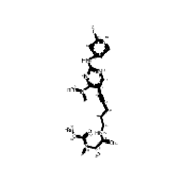 CCCN(C)c1nc(Nc2ccnc(F)c2)ncc1C#CCCCNC(=O)[C@H](C)N(C)C(=O)OC(C)(C)C